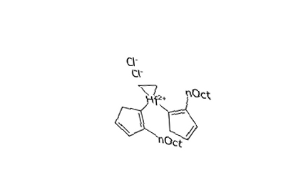 CCCCCCCCC1=[C]([Hf+2]2([C]3=C(CCCCCCCC)C=CC3)[CH2][CH2]2)CC=C1.[Cl-].[Cl-]